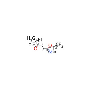 CCC(C)(CC)C(=O)CCc1ncc(C(F)(F)F)o1